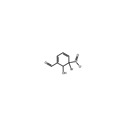 O=CC1=CC=CC(Br)([N+](=O)[O-])C1O